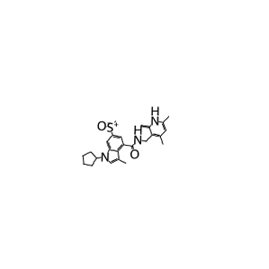 C=C1NC(C)=CC(C)=C1CNC(=O)c1cc([S+](C)[O-])cc2c1c(C)cn2C1CCCC1